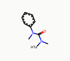 CN([TeH])C(=O)N(C)c1ccccc1